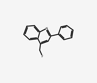 FCc1cc(-c2ccccc2)nc2ccccc12